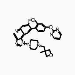 CC1(CN2CCN(n3cnc4cnc5cc(F)c(-c6ccc(Oc7ncccn7)cc6Cl)cc5c43)CC2)COC1